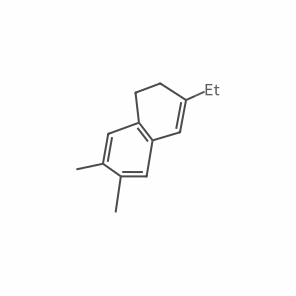 [CH2]CC1=Cc2cc(C)c(C)cc2CC1